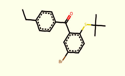 CCc1ccc(C(=O)c2cc(Br)ccc2SC(C)(C)C)cc1